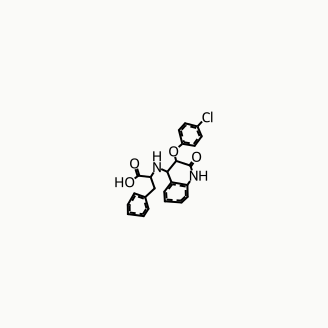 O=C(O)C(Cc1ccccc1)NC1c2ccccc2NC(=O)C1Oc1ccc(Cl)cc1